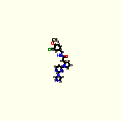 COc1ccc(CNC(=O)CC2CCCN2c2ccnc(-n3ccnc3)n2)cc1Cl